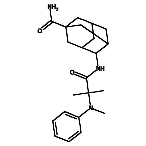 CN(c1ccccc1)C(C)(C)C(=O)NC1C2CC3CC1CC(C(N)=O)(C3)C2